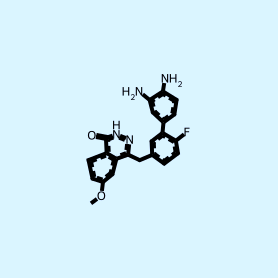 COc1ccc2c(=O)[nH]nc(Cc3ccc(F)c(-c4ccc(N)c(N)c4)c3)c2c1